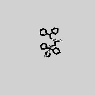 BC=C(c1ccccc1)c1ccccc1.CC(C)C=C[SiH2]C(c1ccccc1)(c1ccccc1)n1ccnc1